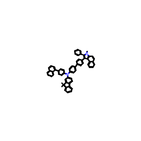 Cn1c(-c2ccccc2)c(-c2ccc(-c3ccc(N(c4ccc(-c5cccc6ccccc56)cc4)c4ccc5c(c4)C(C)(C)c4ccccc4-5)cc3)cc2)c2c3ccccc3ccc21